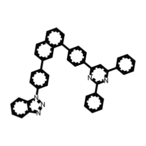 c1ccc(-c2cc(-c3ccc(-c4cccc5ccc(-c6ccc(-n7nnc8ccccc87)cc6)cc45)cc3)nc(-c3ccccc3)n2)cc1